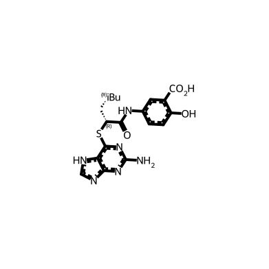 CC[C@@H](C)C[C@@H](Sc1nc(N)nc2nc[nH]c12)C(=O)Nc1ccc(O)c(C(=O)O)c1